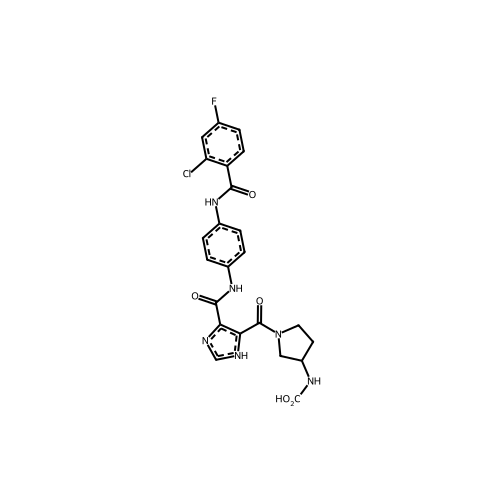 O=C(O)NC1CCN(C(=O)c2[nH]cnc2C(=O)Nc2ccc(NC(=O)c3ccc(F)cc3Cl)cc2)C1